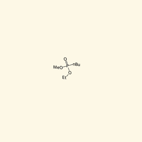 CCCCP(=O)(OC)OCC